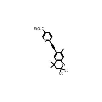 CCOC(=O)c1ccc(C#Cc2cc3c(cc2C)OC(CC)(CC)CC3(C)C)nc1